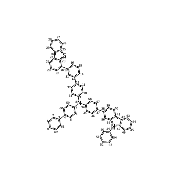 c1ccc(-c2ccc(N(c3ccc(-c4cccc(-c5cccc6c5sc5ccccc56)c4)cc3)c3ccc(-c4ccc5c6ccccc6n(-c6ccccc6)c5c4)cc3)cc2)cc1